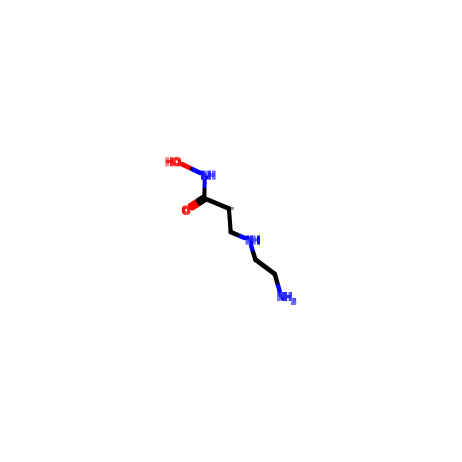 NCCNC[CH]C(=O)NO